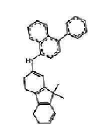 CC1(C)C2=C(CCC=C2)C2=C1C=C(Nc1ccc(-c3ccccc3)c3ccccc13)CC2